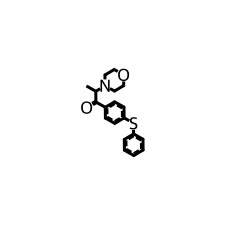 CC(C(=O)c1ccc(Sc2ccccc2)cc1)N1CCOCC1